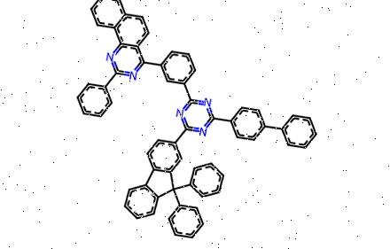 c1ccc(-c2ccc(-c3nc(-c4cccc(-c5nc(-c6ccccc6)nc6c5ccc5ccccc56)c4)nc(-c4ccc5c(c4)C(c4ccccc4)(c4ccccc4)c4ccccc4-5)n3)cc2)cc1